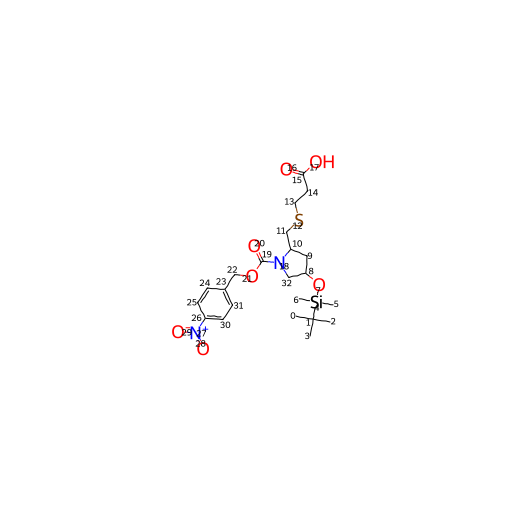 CC(C)(C)[Si](C)(C)OC1CC(CSCCC(=O)O)N(C(=O)OCc2ccc([N+](=O)[O-])cc2)C1